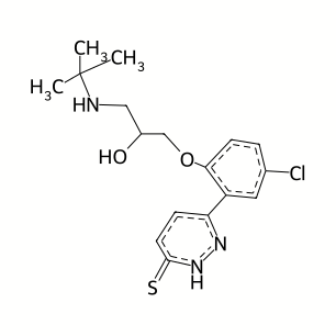 CC(C)(C)NCC(O)COc1ccc(Cl)cc1-c1ccc(=S)[nH]n1